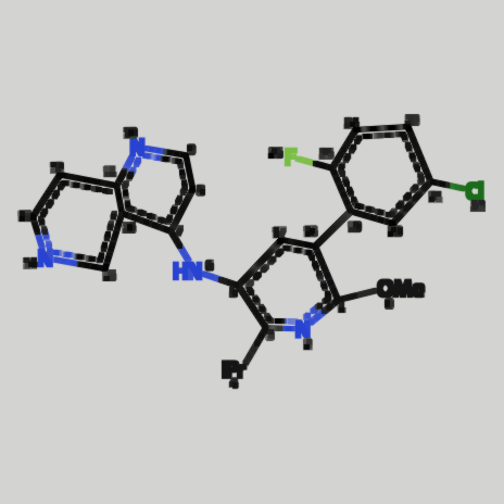 COc1nc(C(C)C)c(Nc2ccnc3ccncc23)cc1-c1cc(Cl)ccc1F